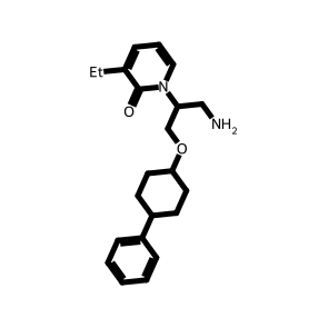 CCc1cccn(C(CN)COC2CCC(c3ccccc3)CC2)c1=O